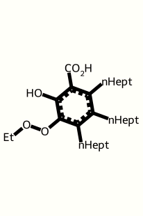 CCCCCCCc1c(CCCCCCC)c(OOCC)c(O)c(C(=O)O)c1CCCCCCC